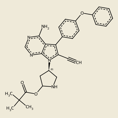 C#Cc1c(-c2ccc(Oc3ccccc3)cc2)c2c(N)ncnc2n1[C@H]1CNC(OC(=O)C(C)(C)C)C1